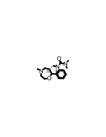 CN1CCOC(c2ccccc2)[C@@H](CNC(=O)N(C)C)C1